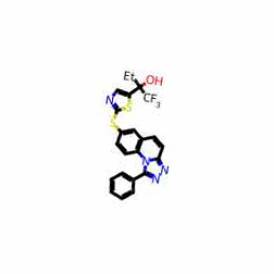 CCC(O)(c1cnc(Sc2ccc3c(ccc4nnc(-c5ccccc5)n43)c2)s1)C(F)(F)F